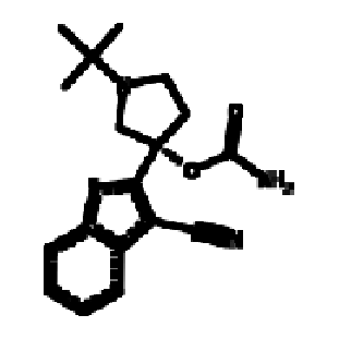 CC(C)(C)N1CC[C@@](OC(N)=O)(c2sc3ccccc3c2C#N)C1